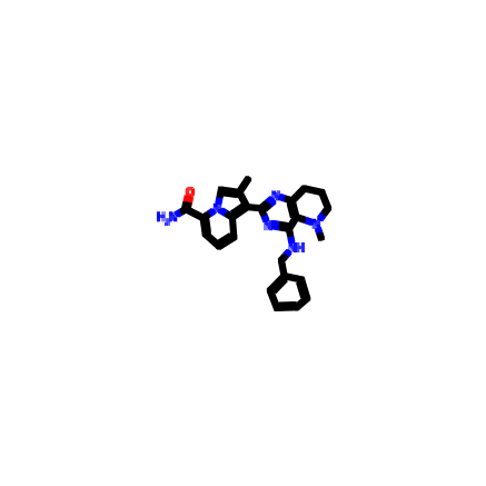 Cc1cn2c(C(N)=O)cccc2c1-c1nc2c(c(NCc3ccccc3)n1)N(C)CCC2